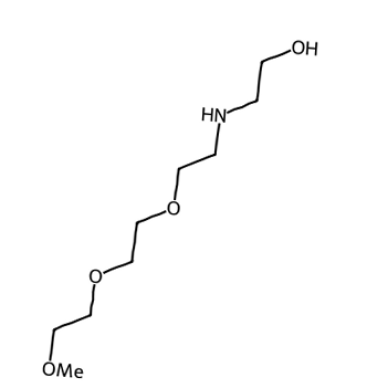 COCCOCCOCCNCCO